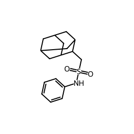 O=S(=O)(CC1C2CC3CC(C2)CC1C3)Nc1ccccc1